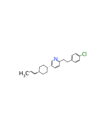 CC=C[C@H]1CC[C@H](c2ccc(CCc3ccc(Cl)cc3)nc2)CC1